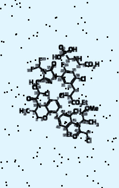 CC1COc2ccccc2N1C(=O)C(Cl)Cl.CCOC(=O)C(Cl)Cc1cc(-n2nc(C)n(C(F)F)c2=O)c(F)cc1Cl.CCc1cccc(C)c1N(C(=O)CCl)C(C)COC.O=C(O)CNCP(=O)(O)O